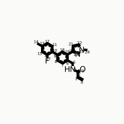 C=CC(=O)NCc1ccc(-c2ccc(C)cc2F)cc1-c1ccn(C)n1